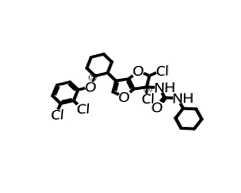 O=C(NC1CCCCC1)N[C@]1(Cl)c2occ(C3CCCC[C@@H]3Oc3cccc(Cl)c3Cl)c2OC1Cl